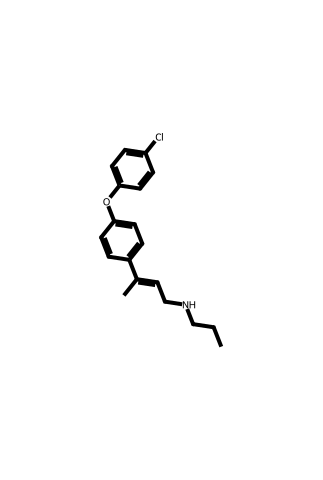 CCCNCC=C(C)c1ccc(Oc2ccc(Cl)cc2)cc1